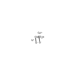 O=C([O-])O.O=C([O-])[O-].[Ca+2].[Li+]